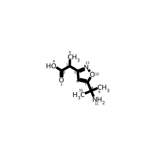 CC(C(=O)O)c1cc(C(C)(C)N)on1